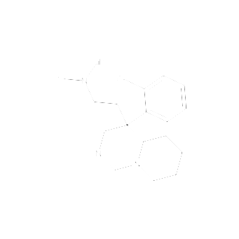 CC(C)N(CCC1(c2ccccc2Cl)CN=CN2CCCCC21)C(C)C